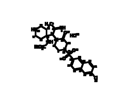 CCOC(=O)NC1(C(C(C)=N)N2CCN(S(=O)(=O)c3ccc4cc(Cl)ccc4c3)CC2=O)CCNCC1.Cl